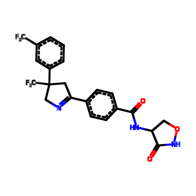 O=C(NC1CONC1=O)c1ccc(C2=NCC(c3cccc(C(F)(F)F)c3)(C(F)(F)F)C2)cc1